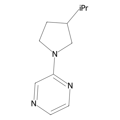 CC(C)C1CCN(c2cnccn2)C1